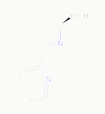 O=C(O)[C@@H]1CCC(c2ccccn2)=N1